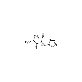 CC(C)C(=O)/C(C#N)=C/c1cncs1